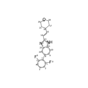 Fc1cccc(F)c1-c1ccc2[nH]c(/C=C/C3CCOCC3)nc2c1